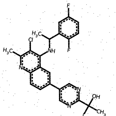 Cc1nc2ccc(-c3cnc(C(C)(O)I)nc3)cc2c(NC(C)c2cc(F)ccc2F)c1Cl